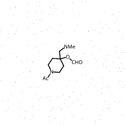 CNCC1(OC=O)CCN(C(C)=O)CC1